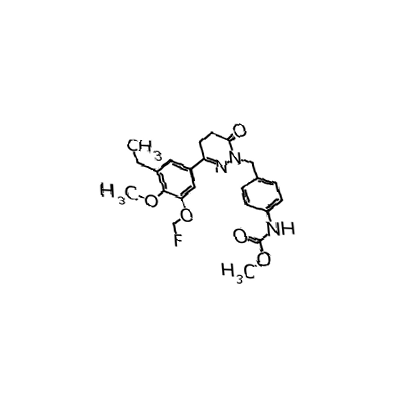 CCc1cc(C2=NN(Cc3ccc(NC(=O)OC)cc3)C(=O)CC2)cc(OCF)c1OC